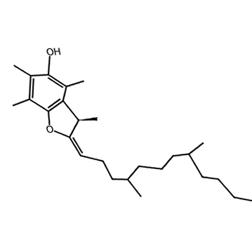 Cc1c(C)c2c(c(C)c1O)[C@@H](C)/C(=C\CCC(C)CCCC(C)CCCC(C)C)O2